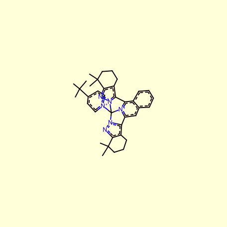 CC(C)(C)c1cc[n+](C23n4nc5c(c4-c4cc6ccccc6c([n+]42)-c2c4c(nn23)C(C)(C)CCC4)CCCC5(C)C)cc1